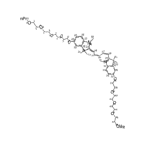 CCCOCCOCCOCCOCCOc1ccc2c(c1)C(C)(C)\C(=C/C=C\C=C/C1=[N+](C)c3ccc(OCCOCCOCCOCCOC)cc3C1(C)C)N2C